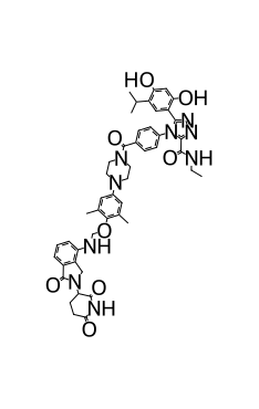 CCNC(=O)c1nnc(-c2cc(C(C)C)c(O)cc2O)n1-c1ccc(C(=O)N2CCN(c3cc(C)c(OCNc4cccc5c4CN(C4CCC(=O)NC4=O)C5=O)c(C)c3)CC2)cc1